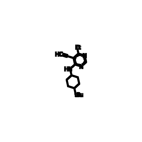 C#Cc1c(CC)ncnc1NC1CCC(C(C)(C)C)CC1